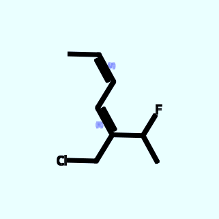 C/C=C\C=C(\CCl)C(C)F